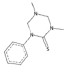 CN1CN(C)C(=S)N(c2ccccc2)C1